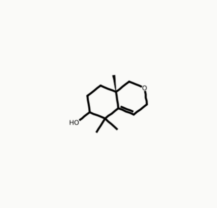 CC1(C)C2=CCOC[C@@]2(C)CCC1O